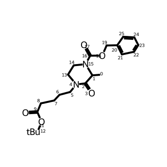 CC1C(=O)N(CCCCC(=O)OC(C)(C)C)CCN1C(=O)OCc1ccccc1